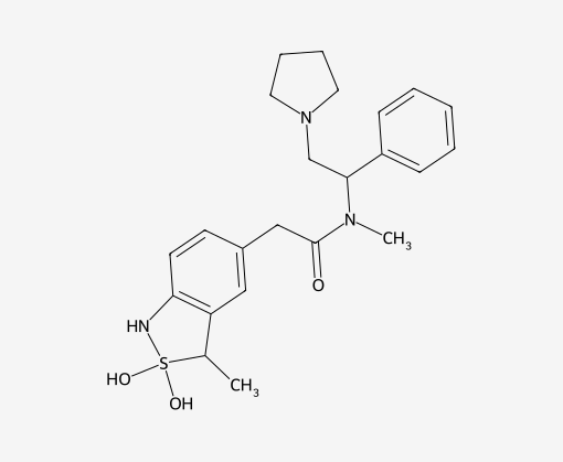 CC1c2cc(CC(=O)N(C)C(CN3CCCC3)c3ccccc3)ccc2NS1(O)O